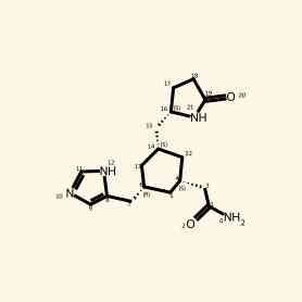 NC(=O)C[C@@H]1C[C@H](Cc2cnc[nH]2)C[C@H](C[C@@H]2CCC(=O)N2)C1